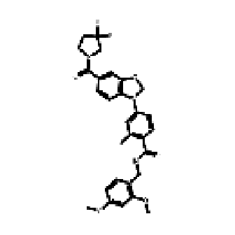 COc1ccc(CNC(=O)c2ccc(N3COc4cc(C(=O)N5CCC(F)(F)C5)ccc43)cc2C)c(OC)c1